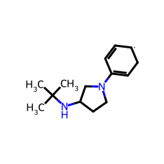 CC(C)(C)NC1CCN(C2=CC[CH]C=C2)C1